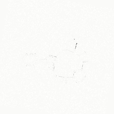 Cc1cccc(C)c1-c1cc2nc(n1)NS(=O)(=O)c1cccc(c1)C(=O)N(N)[C@H](CC(C)(C)C)CO2